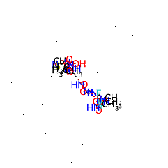 Cc1ncsc1-c1ccc(CNC(=O)[C@@H]2C[C@@H](O)CN2C(=O)C(NC(=O)CCCCCCCCCNC(=O)CCC(=O)N2CCN(c3ccc(-c4cc(NC(=O)c5c[nH]c(=O)cc5C(F)(F)F)c(N5C[C@@H](C)N(C)[C@@H](C)C5)cc4F)cn3)CC2)C(C)(C)C)cc1